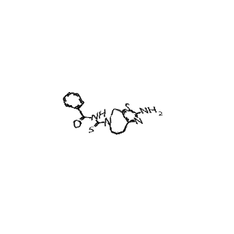 Nc1nc2c(s1)CN(C(=S)NC(=O)c1ccccc1)CC2